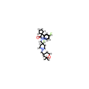 CC1(C)CC(CN2CCC(F)(CNC(=O)C3(c4cccc(F)c4)CCCC3)CC2)CCO1